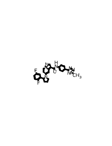 Cn1nnc(-c2ccc(NC(=O)c3cnn4ccc(N5CCCC5c5cc(F)ccc5F)cc34)cc2)n1